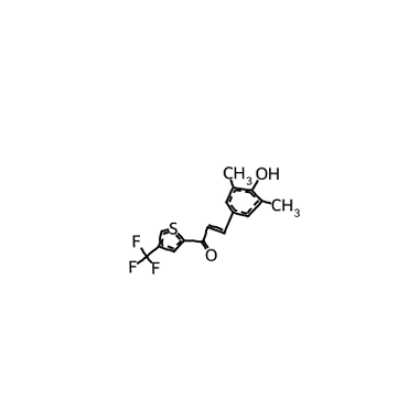 Cc1cc(C=CC(=O)c2cc(C(F)(F)F)cs2)cc(C)c1O